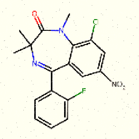 CN1C(=O)C(C)(C)N=C(c2ccccc2F)c2cc([N+](=O)[O-])cc(Cl)c21